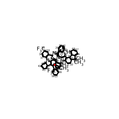 C=C/C=C\c1c(C)c2c3c(ccc2n1-c1ccc(C(F)(F)F)cc1-c1nc(-c2ccccc2)nc(-c2cc(C(F)(F)F)ccc2-n2c4ccccc4c4c5c(ccc42)C(C)(C)c2ccccc2-5)n1)C(C)(C)c1ccccc1-3